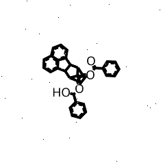 O=C(OC1C(OC(O)c2ccccc2)C2C3c4cccc5cccc(c45)C3C1C21CC1)c1ccccc1